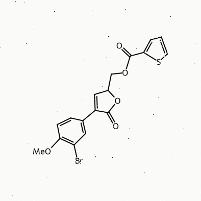 COc1ccc(C2=CC(COC(=O)c3cccs3)OC2=O)cc1Br